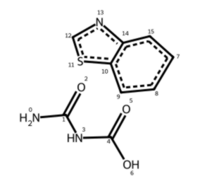 NC(=O)NC(=O)O.c1ccc2scnc2c1